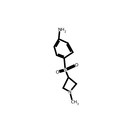 CN1CC(S(=O)(=O)c2ccc(N)cc2)C1